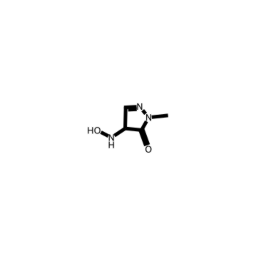 CN1N=CC(NO)C1=O